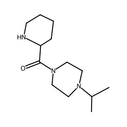 CC(C)N1CCN(C(=O)C2CCCCN2)CC1